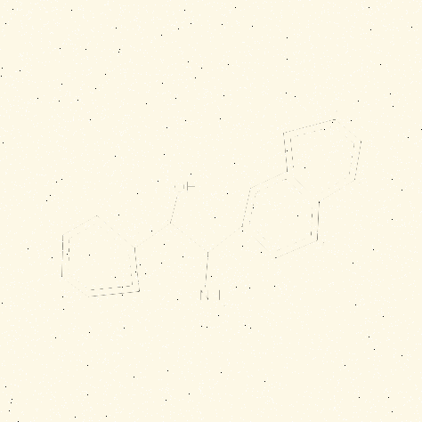 NC(c1ccc2ccccc2c1)C(O)c1ccccc1